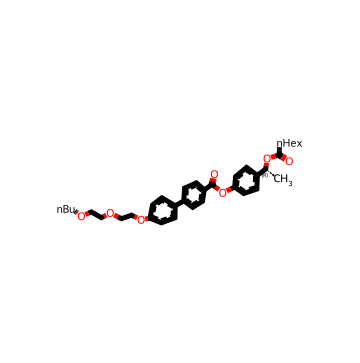 CCCCCCC(=O)O[C@H](C)c1ccc(OC(=O)c2ccc(-c3ccc(OCCOCCOCCCC)cc3)cc2)cc1